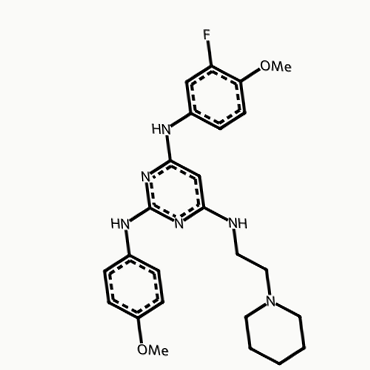 COc1ccc(Nc2nc(NCCN3CCCCC3)cc(Nc3ccc(OC)c(F)c3)n2)cc1